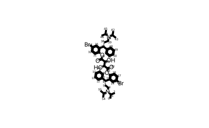 CC(C)N(CC[C@H](c1ccccc1)c1cc(Br)ccc1OC(=O)C(O)C(O)C(=O)Oc1ccc(Br)cc1[C@H](CCN(C(C)C)C(C)C)c1ccccc1)C(C)C